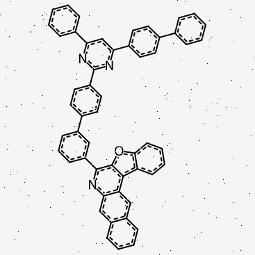 c1ccc(-c2ccc(-c3cc(-c4ccccc4)nc(-c4ccc(-c5cccc(-c6nc7cc8ccccc8cc7c7c6oc6ccccc67)c5)cc4)n3)cc2)cc1